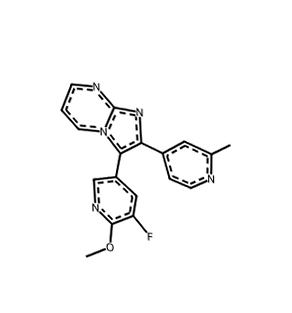 COc1ncc(-c2c(-c3ccnc(C)c3)nc3ncccn23)cc1F